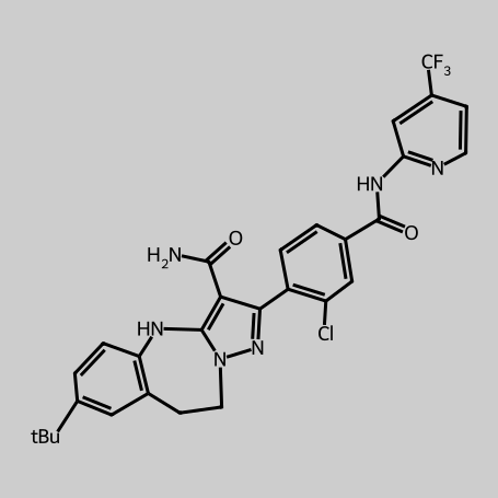 CC(C)(C)c1ccc2c(c1)CCn1nc(-c3ccc(C(=O)Nc4cc(C(F)(F)F)ccn4)cc3Cl)c(C(N)=O)c1N2